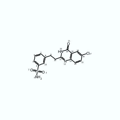 NS(=O)(=O)c1cccc(CCc2nc3ccc(Cl)cc3c(=O)[nH]2)c1